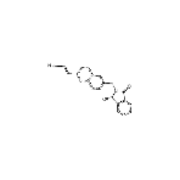 N#C/C=C/c1ccc2cc(CN3C(=O)c4ccccc4C3=O)ccc2n1